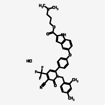 Cc1ccc(Cn2c(-c3ccc(Oc4ccc5[nH]c(C(=O)OCCCN(C)C)cc5c4)cc3)cc(C(F)(F)F)c(C#N)c2=O)c(C)c1.Cl